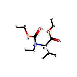 CCOC(=O)[C@H](C(C)C)N(CC)C(=O)OCC